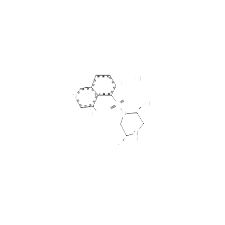 Cc1cncc2cccc(S(=O)(=O)N3C[C@H](C)NC[C@@H]3C)c12.Cl.Cl